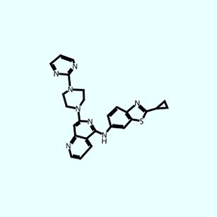 c1cnc(N2CCN(c3cc4ncccc4c(Nc4ccc5nc(C6CC6)sc5c4)n3)CC2)nc1